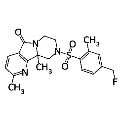 Cc1ccc2c(n1)C1(C)CN(S(=O)(=O)c3ccc(CF)cc3C)CCN1C2=O